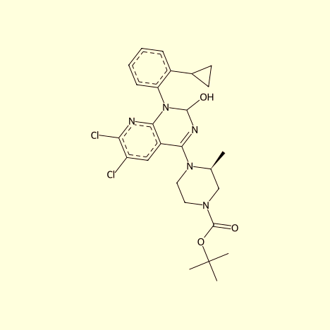 C[C@H]1CN(C(=O)OC(C)(C)C)CCN1C1=NC(O)N(c2ccccc2C2CC2)c2nc(Cl)c(Cl)cc21